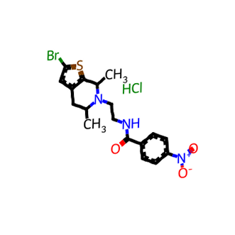 CC1Cc2cc(Br)sc2C(C)N1CCNC(=O)c1ccc([N+](=O)[O-])cc1.Cl